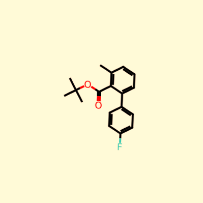 Cc1cccc(-c2ccc(F)cc2)c1C(=O)OC(C)(C)C